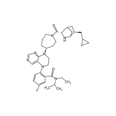 CCN(C(=O)c1cc(F)ccc1N1CCN([C@H]2CCCN(C(=O)[C@H]3NC4CC3C[C@H]4CC3CC3)CC2)c2ncncc21)C(C)C